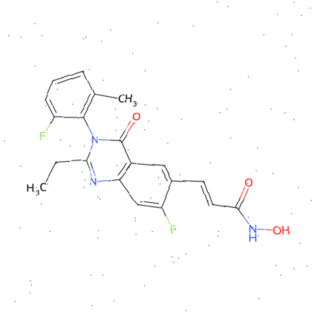 CCc1nc2cc(F)c(/C=C/C(=O)NO)cc2c(=O)n1-c1c(C)cccc1F